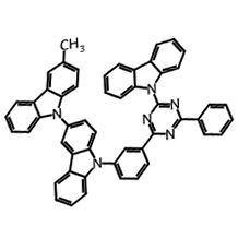 Cc1ccc2c(c1)c1ccccc1n2-c1ccc2c(c1)c1ccccc1n2-c1cccc(-c2nc(-c3ccccc3)nc(-n3c4ccccc4c4ccccc43)n2)c1